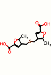 Cc1oc(C(=O)O)cc1CSCC1C=C(C(=O)O)OC1C